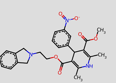 COC(=O)C1=C(C)NC(C)=C(C(=O)OCCN2Cc3ccccc3C2)C1c1cccc([N+](=O)[O-])c1